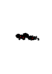 Cc1nc2cc(-c3ccc4c(c3)CN(C(=O)c3ccc(-c5ccccc5)c(F)c3)CCO4)ccc2[nH]1